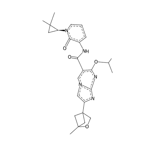 CC(C)Oc1nc2nc(C34COC(C)(C3)C4)cn2cc1C(=O)Nc1cccn([C@H]2CC2(C)C)c1=O